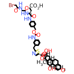 C[C@]12C=CC(=O)C=C1CC[C@@H]1[C@@H]2[C@@H](O)C[C@@]2(C)[C@H]1C[C@H]1O[C@@H](c3cnc(Cc4cccc(NC(=O)OCc5ccc(NC(=O)[C@H](CCC(=O)O)NC(=O)CNC(=O)CBr)cc5)c4)s3)O[C@]12C(=O)CO